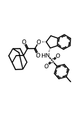 Cc1ccc(S(=O)(=O)N[C@H]2c3ccccc3C[C@H]2OC(=O)C(=O)C23CC4CC(CC(C4)C2)C3)cc1